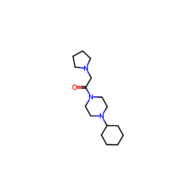 O=C(CN1CCCC1)N1CCN(C2CCCCC2)CC1